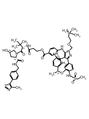 CCS(=O)(=O)Nc1ccc(-c2nn(COCC[Si](C)(C)C)c(Nc3ccc(C(=O)OCCC(=O)N[C@H](C(=O)N4C[C@H](O)C[C@H]4C(=O)NCc4ccc(-c5scnc5C)cc4)C(C)(C)C)cn3)c2C(N)=O)cc1O[C@@H](C)c1ccc(F)cc1